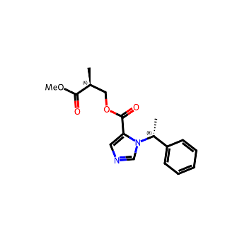 COC(=O)[C@@H](C)COC(=O)c1cncn1[C@H](C)c1ccccc1